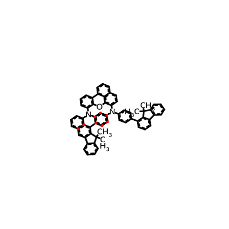 CC1(C)c2ccccc2-c2cccc(-c3ccc(N(c4ccc(-c5cccc6c5C(C)(C)c5ccccc5-6)cc4)c4ccc5cccc6c5c4Oc4c-6cccc4N(c4ccccc4)c4ccccc4)cc3)c21